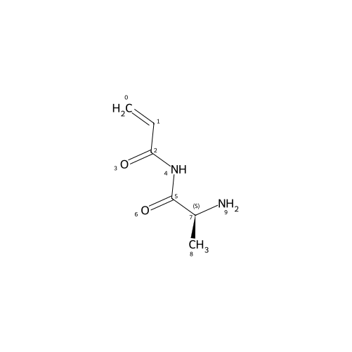 C=CC(=O)NC(=O)[C@H](C)N